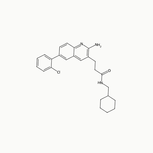 Nc1nc2ccc(-c3ccccc3Cl)cc2cc1CCC(=O)NCC1CCCCC1